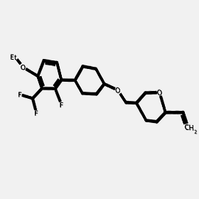 C=CC1CCC(COC2CCC(c3ccc(OCC)c(C(F)F)c3F)CC2)CO1